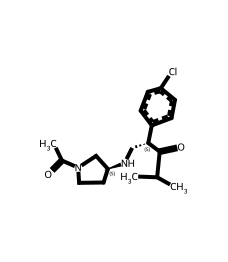 CC(=O)N1CC[C@H](NC[C@@H](C(=O)C(C)C)c2ccc(Cl)cc2)C1